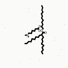 CCCCCCCCCCC(COC(=O)C(CCCCCCCCC)CCCCCCCCC)OC(=O)CCCCCN(C)C